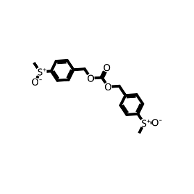 C[S+]([O-])c1ccc(COC(=O)OCc2ccc([S+](C)[O-])cc2)cc1